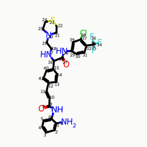 Nc1ccccc1NC(=O)/C=C/c1ccc(C(NCCN2CCSCC2)C(=O)Nc2ccc(C(F)(F)F)c(Cl)c2)cc1